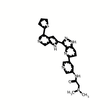 CN(C)CC(=O)Nc1cncc(-c2ccc3[nH]nc(-c4cc5c(-c6cccs6)cncc5[nH]4)c3n2)c1